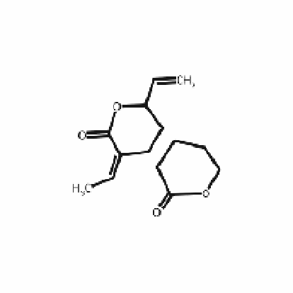 C=CC1CCC(=CC)C(=O)O1.O=C1CCCCO1